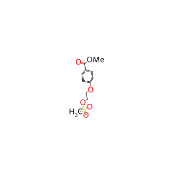 COC(=O)c1ccc(OCCOS(C)(=O)=O)cc1